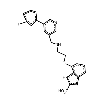 O=C(O)c1cc2cccc(OCCNCc3cncc(-c4cccc(F)c4)c3)c2[nH]1